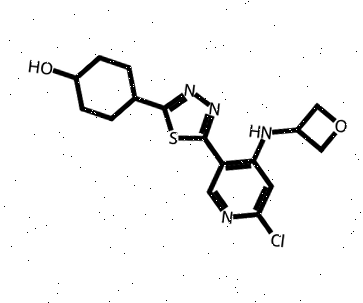 OC1CCC(c2nnc(-c3cnc(Cl)cc3NC3COC3)s2)CC1